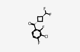 O=C(c1ccc(F)c(Cl)c1F)[C@H]1C[C@H](C(F)F)C1